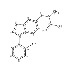 CC(Sc1ccc2c(-c3ccccc3F)noc2c1)C(=O)O